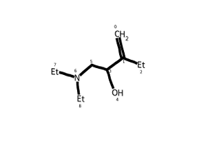 C=C(CC)C(O)CN(CC)CC